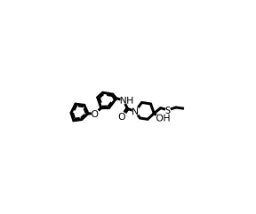 CCSCC1(O)CCN(C(=O)Nc2cccc(Oc3ccccc3)c2)CC1